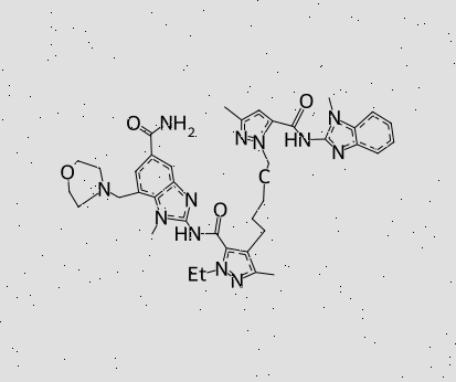 CCn1nc(C)c(CCCCCn2nc(C)cc2C(=O)Nc2nc3ccccc3n2C)c1C(=O)Nc1nc2cc(C(N)=O)cc(CN3CCOCC3)c2n1C